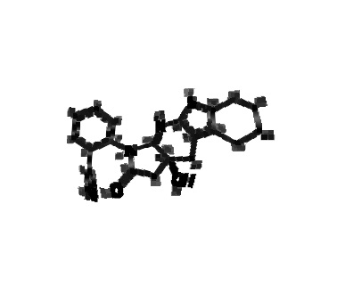 N#Cc1ccccc1N1C(=O)C[C@@]2(O)Cc3c(sc4c3CCCC4)N=C12